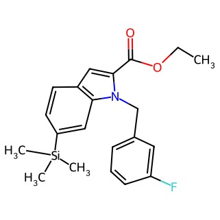 CCOC(=O)c1cc2ccc([Si](C)(C)C)cc2n1Cc1cccc(F)c1